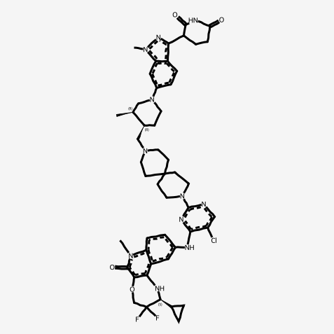 C[C@H]1CN(c2ccc3c(C4CCC(=O)NC4=O)nn(C)c3c2)CC[C@H]1CN1CCC2(CC1)CCN(c1ncc(Cl)c(Nc3ccc4c(c3)c3c(c(=O)n4C)OCC(F)(F)[C@H](C4CC4)N3)n1)CC2